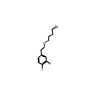 Fc1ccc(CCOCCCCBr)cc1F